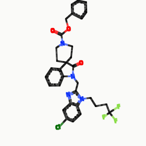 O=C(OCc1ccccc1)N1CCC2(CC1)C(=O)N(Cc1nc3cc(Cl)ccc3n1CCCC(F)(F)F)c1ccccc12